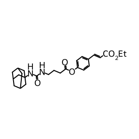 CCOC(=O)/C=C/c1ccc(OC(=O)CCCNC(=O)NC23CC4CC(CC(C4)C2)C3)cc1